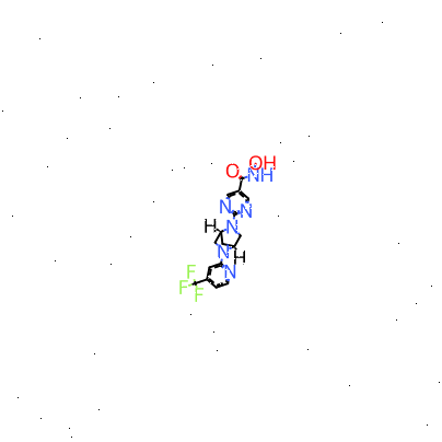 O=C(NO)c1cnc(N2C[C@H]3C[C@@H]2CN3c2cc(C(F)(F)F)ccn2)nc1